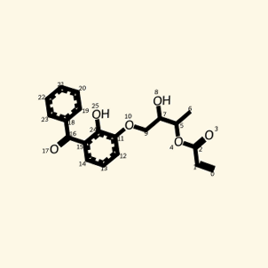 C=CC(=O)OC(C)C(O)COc1cccc(C(=O)c2ccccc2)c1O